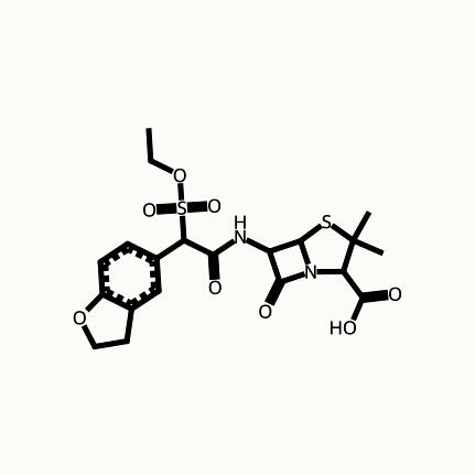 CCOS(=O)(=O)C(C(=O)NC1C(=O)N2C1SC(C)(C)C2C(=O)O)c1ccc2c(c1)CCO2